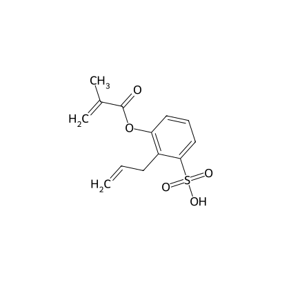 C=CCc1c(OC(=O)C(=C)C)cccc1S(=O)(=O)O